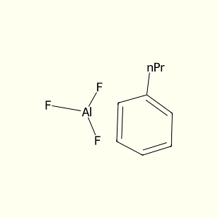 [CH2]CCc1ccccc1.[F][Al]([F])[F]